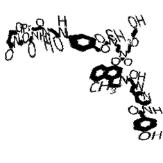 Cc1cccc2c(OC(=O)N(CCOCCO)CCN(C)C(=O)OCc3ccc(NC(=O)CNC(=O)C(NC(=O)OCN4C(=O)C=CC4=O)C(C)C)cc3)cc3c(c12)CCN3C(=O)c1cc2cc(NC(=O)c3ccc(O)cc3)cnc2[nH]1